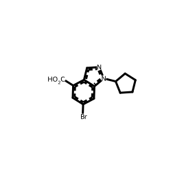 O=C(O)c1cc(Br)cc2c1cnn2C1CCCC1